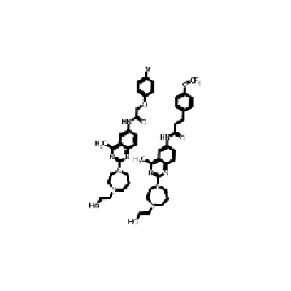 Cc1nc(N2CCCN(CCO)CC2)nc2ccc(NC(=O)CCc3ccc(OC(F)(F)F)cc3)cc12.Cc1nc(N2CCCN(CCO)CC2)nc2ccc(NC(=O)COc3ccc(Br)cc3)cc12